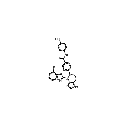 O=C(Nc1ccc(O)cc1)c1cnc(N2CCc3[nH]cnc3[C@@H]2c2cc3c(F)cccn3n2)cn1